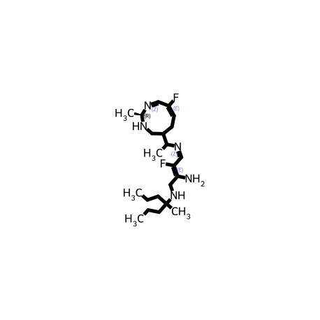 CCCC(C)(CCC)NC/C(N)=C(F)/C=N\C(C)C1C/C=C(F)\C=N/[C@H](C)NC1